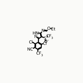 CCOC=Nc1[nH]nc(-c2c(Cl)cc(C(F)(F)F)c(C#N)c2Cl)c1[S+]([O-])C(F)(F)F